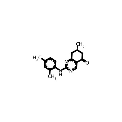 Cc1ccc(Nc2ncc3c(n2)C[C@@H](C)CC3=O)c(C)c1